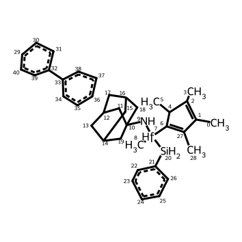 CC1=C(C)C(C)[C]([Hf]([CH3])([NH]C23CC4CC(CC(C4)C2)C3)[SiH2]c2ccccc2)=C1C.c1ccc(-c2ccccc2)cc1